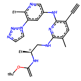 C#Cc1cc(C)c(NC[C@H](CC)NC(=C)OC(C)(C)C)nc1Nc1cnc(CC)c(-n2ccnn2)c1